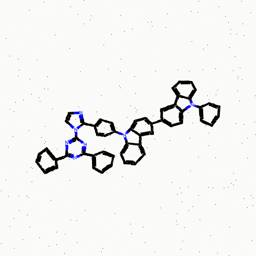 c1ccc(-c2nc(-c3ccccc3)nc(-n3ccnc3-c3ccc(-n4c5ccccc5c5cc(-c6ccc7c(c6)c6ccccc6n7-c6ccccc6)ccc54)cc3)n2)cc1